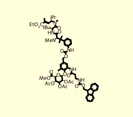 CCOC(=O)/C(C)=C/[C@H](C(C)C)N(C)C(=O)[C@@H](NC(=O)[C@H](NC)C(C)(C)c1cccc(NC(=O)OCc2cc(C)c(O[C@@H]3O[C@H](C(=O)OC)[C@@H](OC(C)=O)C(OC(C)=O)[C@H]3OC(C)=O)c(NC(=O)CCNC(=O)OCC3c4ccccc4-c4ccccc43)c2)c1)C(C)(C)C